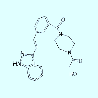 CC(=O)N1CCN(C(=O)c2cccc(C=Cc3n[nH]c4ccccc34)c2)CC1.Cl